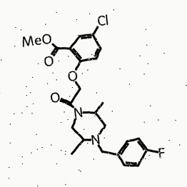 COC(=O)c1cc(Cl)ccc1OCC(=O)N1CC(C)N(Cc2ccc(F)cc2)CC1C